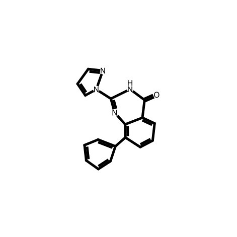 O=c1[nH]c(-n2cccn2)nc2c(-c3ccccc3)cccc12